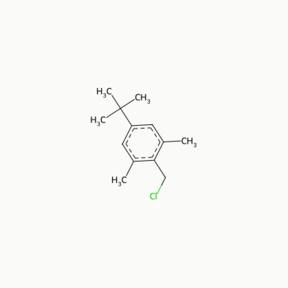 Cc1cc(C(C)(C)C)cc(C)c1CCl